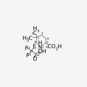 CC1(C)CCC(C(=O)O)NC1.O=C(O)C(F)(F)F